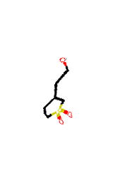 [O]CCC1CCS(=O)(=O)C1